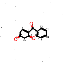 O=C1CC=C(C(=O)c2ccccc2)C(=O)C1